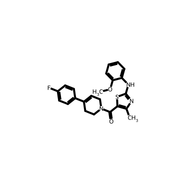 COc1ccccc1Nc1nc(C)c(C(=O)N2CC=C(c3ccc(F)cc3)CC2)s1